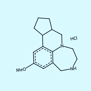 COc1cc2c3c(c1)C1CCCC1CN3CCNC2.Cl